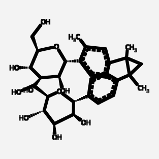 Cc1cc(C2(C)CC2(C)c2ccc([C@H]3O[C@H](CO)[C@@H](O)[C@H](O)[C@@H]3O)cc2)ccc1[C@H]1O[C@H](CO)[C@@H](O)[C@H](O)[C@@H]1O